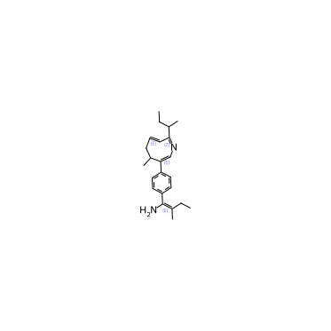 CC/C(C)=C(/N)c1ccc(/C2=C/N=C(C(C)CC)\C=C\CC2C)cc1